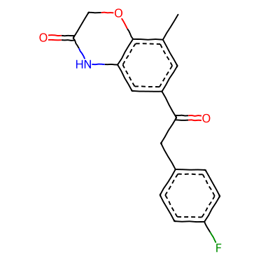 Cc1cc(C(=O)Cc2ccc(F)cc2)cc2c1OCC(=O)N2